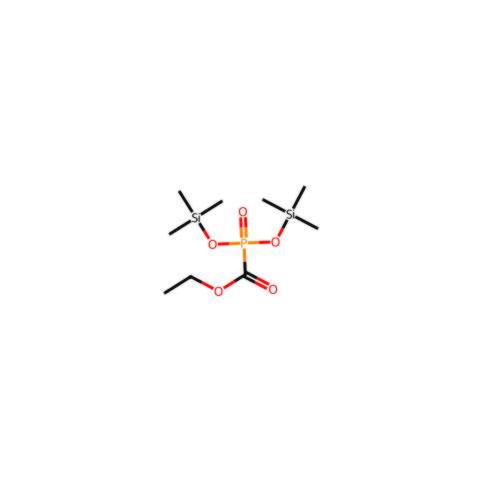 CCOC(=O)P(=O)(O[Si](C)(C)C)O[Si](C)(C)C